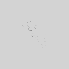 C1=CB2N(C=C1)B1C=CC=CN1B1C=CC([Si](c3ccccc3)(c3ccccc3)c3ccc4c(c3)-c3ccccc3-c3ccc(-n5c6ccccc6n6c7ccccc7nc56)cc3-c3ccccc3-4)=CN1B1C=CC=CN21